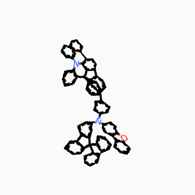 c1ccc(-c2ccc3c4c2N(c2ccccc2)c2ccccc2C4(c2ccccc2)c2cc(-c4ccc(N(c5ccc6c(c5)C(c5ccccc5)(c5ccccc5)c5ccccc5-6)c5ccc6oc7ccccc7c6c5)cc4)ccc2-3)cc1